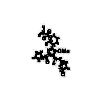 COc1c(C2CCCN(S(=O)(=O)N(C)C)C2C)nn(C(=O)c2ccsc2)c1N(C)Cc1ccc(Cl)s1